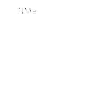 C[N]C1CCc2ccccc21